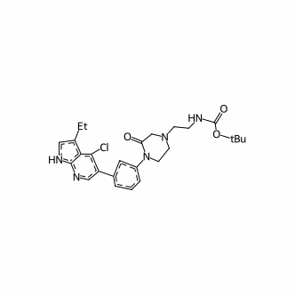 CCc1c[nH]c2ncc(-c3cccc(N4CCN(CCNC(=O)OC(C)(C)C)CC4=O)c3)c(Cl)c12